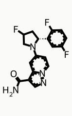 NC(=O)c1cnn2ccc(N3CC(F)C[C@@H]3c3cc(F)ccc3F)cc12